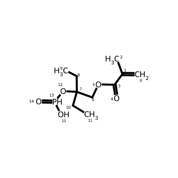 C=C(C)C(=O)OCC(CC)(CC)O[PH](=O)O